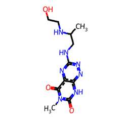 CC(CNc1nnc2[nH]c(=O)n(C)c(=O)c2n1)NCCO